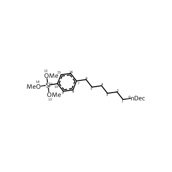 CCCCCCCCCCCCCCCCc1ccc([Si](OC)(OC)OC)cc1